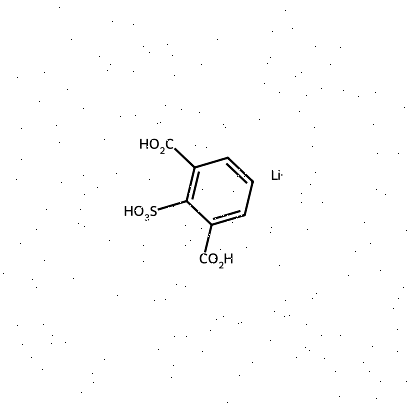 O=C(O)c1cccc(C(=O)O)c1S(=O)(=O)O.[Li]